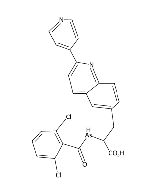 O=C([AsH]C(Cc1ccc2nc(-c3ccncc3)ccc2c1)C(=O)O)c1c(Cl)cccc1Cl